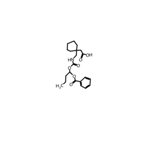 CCCC(OC(=O)NCC1(CC(=O)O)CCCCC1)OC(=O)c1ccccc1